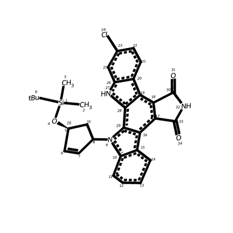 CC(C)(C)[Si](C)(C)O[C@@H]1C=CC(n2c3ccccc3c3c4c(c5c6ccc(Cl)cc6[nH]c5c32)C(=O)NC4=O)C1